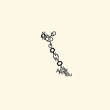 CCC(C)N/N=C\N(C(C)=O)c1ccc(N2CCN(c3ccc(OCC4COC(Cn5nccn5)(C5COC5)O4)cc3)CC2)cc1